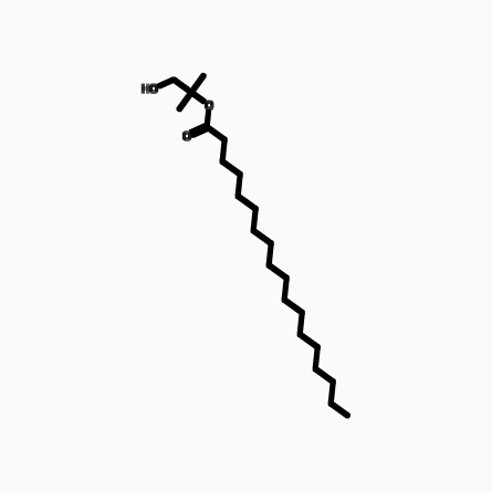 CCCCCCCCCCCCCCCCCC(=O)OC(C)(C)CO